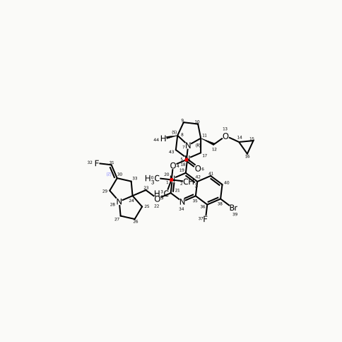 CC(C)(C)OC(=O)N1[C@H]2CC[C@]1(COC1CC1)CN(c1nc(OCC34CCCN3C/C(=C\F)C4)nc3c(F)c(Br)ccc13)C2